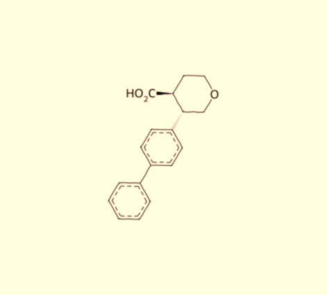 O=C(O)[C@H]1CCOC[C@@H]1c1ccc(-c2ccccc2)cc1